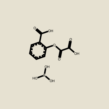 O=C(O)C(=O)Oc1ccccc1C(=O)O.OB(O)O